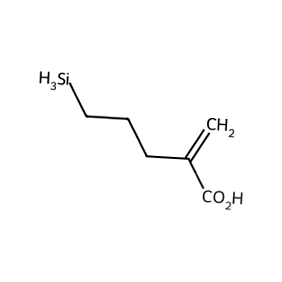 C=C(CCC[SiH3])C(=O)O